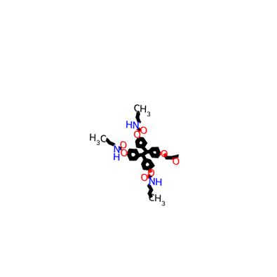 CCCCNC(=O)Oc1ccc(C(c2ccc(OCC3CO3)cc2)C(c2ccc(OC(=O)NCCCC)cc2)c2ccc(OC(=O)NCCCC)cc2)cc1